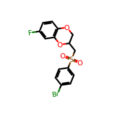 O=S(=O)(CC1COc2ccc(F)cc2O1)c1ccc(Br)cc1